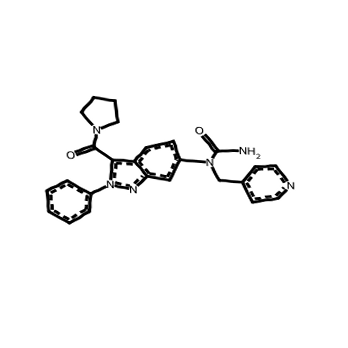 NC(=O)N(Cc1ccncc1)c1ccc2c(C(=O)N3CCCC3)n(-c3ccccc3)nc2c1